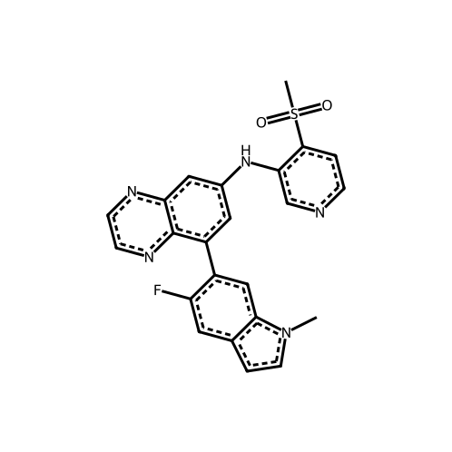 Cn1ccc2cc(F)c(-c3cc(Nc4cnccc4S(C)(=O)=O)cc4nccnc34)cc21